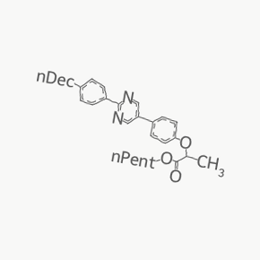 CCCCCCCCCCc1ccc(-c2ncc(-c3ccc(OC(C)C(=O)OCCCCC)cc3)cn2)cc1